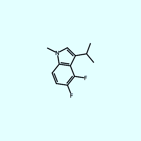 CC(C)c1cn(C)c2ccc(F)c(F)c12